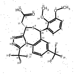 COc1cccc([C@@H]2S[C@@H](CC(=O)O)c3nnc(C(F)(F)F)n3-c3ccc(C(F)(F)F)cc32)c1OC